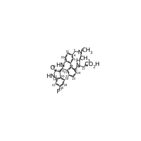 CN(C)Cc1ccc(N/C(=C2\C(=O)Nc3cc(F)ccc32)c2cccc(NCC(=O)O)c2)cc1